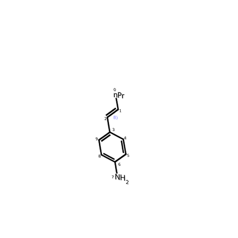 CCC/C=C/c1ccc(N)cc1